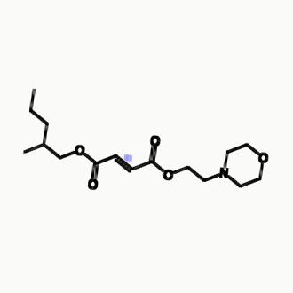 CCCC(C)COC(=O)/C=C/C(=O)OCCN1CCOCC1